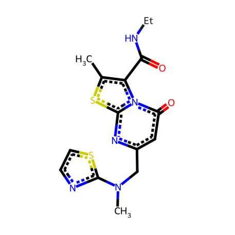 CCNC(=O)c1c(C)sc2nc(CN(C)c3nccs3)cc(=O)n12